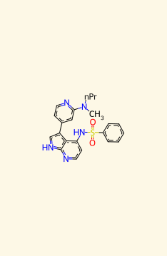 CCCN(C)c1cc(-c2c[nH]c3nccc(NS(=O)(=O)c4ccccc4)c23)ccn1